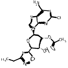 CCc1noc([C@H]2O[C@@H](n3cnc4c(N)nc(Cl)nc43)[C@H](OC(C)=O)[C@@H]2O)n1